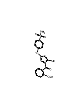 COc1ccccc1C(=O)n1nc(Nc2ccc(S(N)(=O)=O)cc2)nc1N